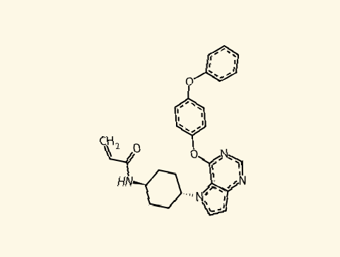 C=CC(=O)N[C@H]1CC[C@H](n2ccc3ncnc(Oc4ccc(Oc5ccccc5)cc4)c32)CC1